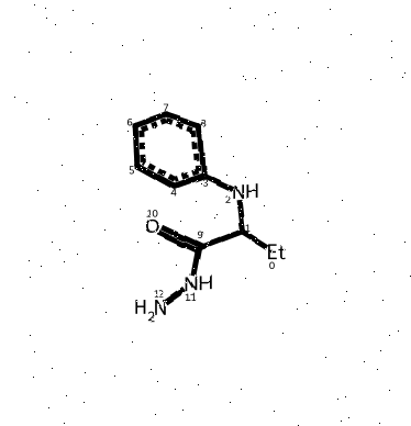 CCC(Nc1ccccc1)C(=O)NN